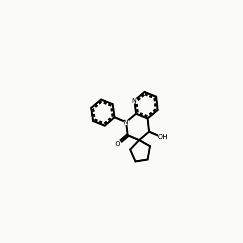 O=C1N(c2ccccc2)c2ncccc2C(O)C12CCCC2